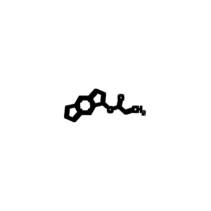 C=CC(=O)OC1=CC=c2cc3c(cc21)=CC=C3